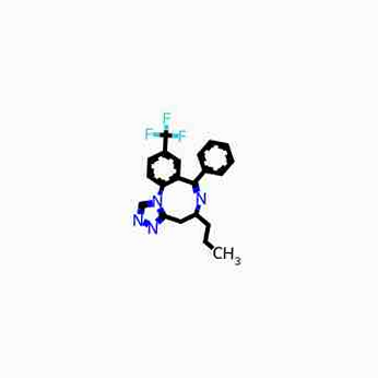 CCCC1Cc2nncn2-c2ccc(C(F)(F)F)cc2C(c2ccccc2)=N1